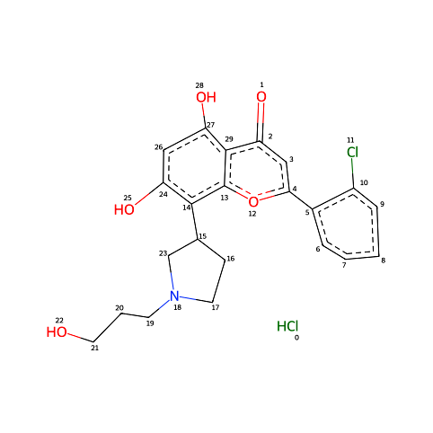 Cl.O=c1cc(-c2ccccc2Cl)oc2c(C3CCN(CCCO)C3)c(O)cc(O)c12